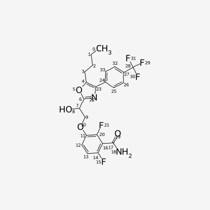 CCCCc1oc(C(O)COc2ccc(F)c(C(N)=O)c2F)nc1-c1ccc(C(F)(F)F)cc1